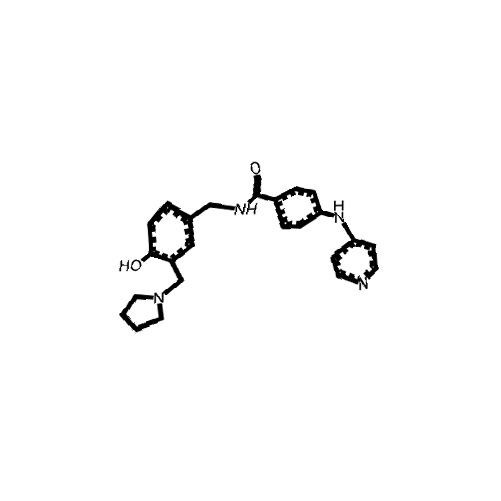 O=C(NCc1ccc(O)c(CN2CCCC2)c1)c1ccc(Nc2ccncc2)cc1